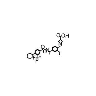 CCc1cc(/C(C)=N/OC(=O)c2ccc(C3CCCCC3)c(C(F)(F)F)c2)ccc1CN1CC(C(=O)O)C1